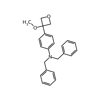 COC1(c2ccc(N(Cc3ccccc3)Cc3ccccc3)cc2)COC1